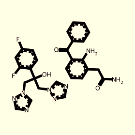 NC(=O)Cc1cccc(C(=O)c2ccccc2)c1N.OC(Cn1cncn1)(Cn1cncn1)c1ccc(F)cc1F